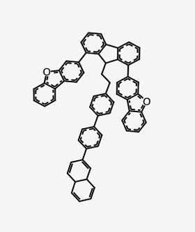 C1=CC2C=CC(c3ccc(-c4ccc(CCC5c6c(-c7ccc8c(c7)oc7ccccc78)cccc6-c6cccc(-c7ccc8c(c7)oc7ccccc78)c65)cc4)cc3)=CC2C=C1